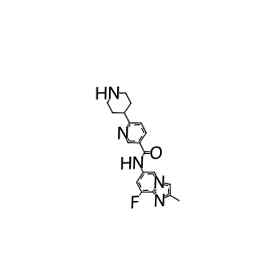 Cc1cn2cc(NC(=O)c3ccc(C4CCNCC4)nc3)cc(F)c2n1